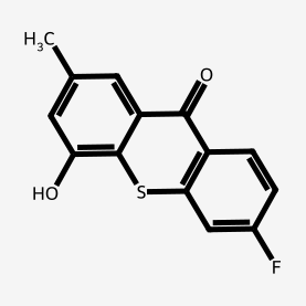 Cc1cc(O)c2sc3cc(F)ccc3c(=O)c2c1